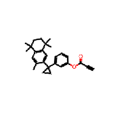 C#CC(=O)Oc1cccc(C2(c3cc4c(cc3C)C(C)(C)CCC4(C)C)CC2)c1